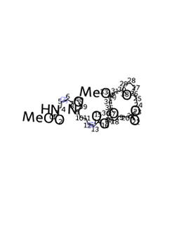 COC(=O)NC/C=C\c1nc(CC/C=C\C(=O)O[C@H]2CC3CC(=O)OCCC4CCCC(C[C@@H](OC)CC(C2)O3)O4)co1